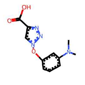 CN(C)c1cccc(On2cc(C(=O)O)nn2)c1